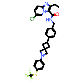 CCc1nc2ccc(Cl)cn2c1C(=O)NCc1ccc(C2CC3(C2)CN(c2ccc(SC(F)(F)F)cc2)C3)cc1